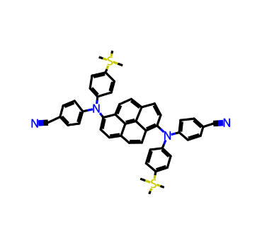 CS(C)(C)c1ccc(N(c2ccc(C#N)cc2)c2ccc3ccc4c(N(c5ccc(C#N)cc5)c5ccc(S(C)(C)C)cc5)ccc5ccc2c3c54)cc1